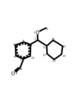 COC(c1cccc(C=O)c1)C1CCCCC1